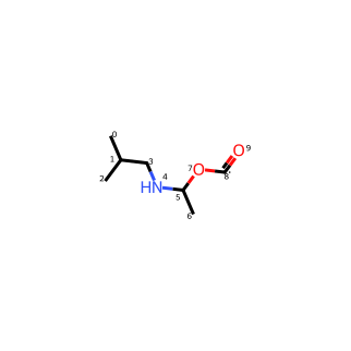 CC(C)CNC(C)O[C]=O